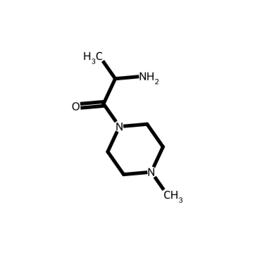 CC(N)C(=O)N1CCN(C)CC1